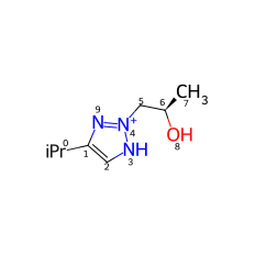 CC(C)c1c[nH][n+](C[C@@H](C)O)n1